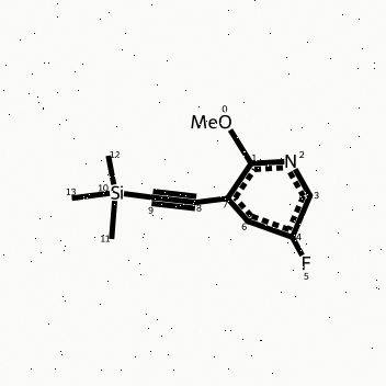 COc1ncc(F)cc1C#C[Si](C)(C)C